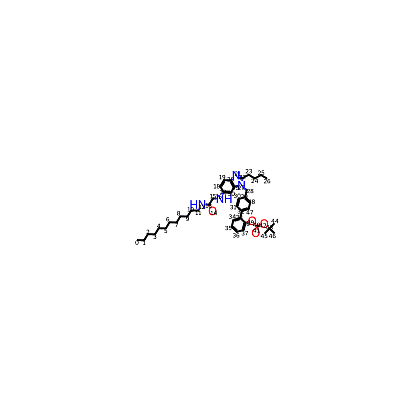 CCCCCCCCCCCCNC(=O)CNc1ccc2nc(CCCC)n(Cc3ccc(-c4ccccc4OC(=O)OC(C)(C)C)cc3)c2c1